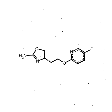 NC1=NC(CCOc2ccc(F)cn2)CO1